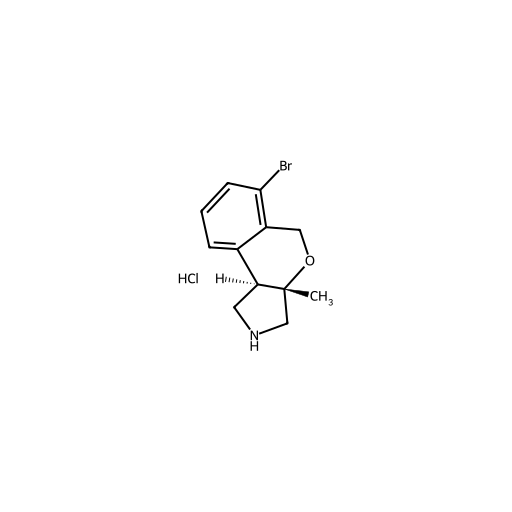 C[C@@]12CNC[C@H]1c1cccc(Br)c1CO2.Cl